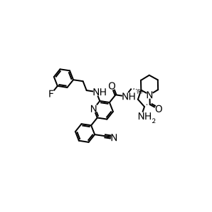 N#Cc1ccccc1-c1ccc(C(=O)NC[C@]2(CCN)CCCCN2[C]=O)c(NCCc2cccc(F)c2)n1